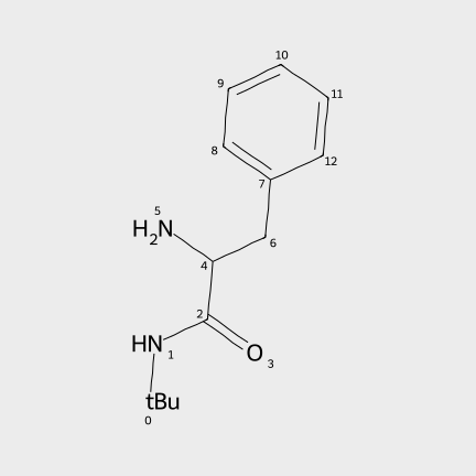 CC(C)(C)NC(=O)C(N)Cc1ccccc1